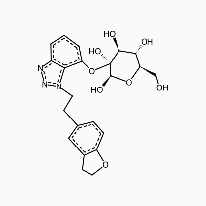 OC[C@H]1O[C@@H](O)[C@@](O)(Oc2cccc3nnn(CCc4ccc5c(c4)CCO5)c23)[C@@H](O)[C@@H]1O